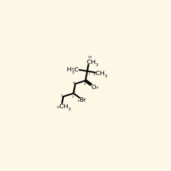 CCC(Br)CC(=O)C(C)(C)C